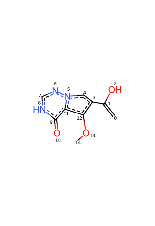 C=C(O)c1cn2nc[nH]c(=O)c2c1OC